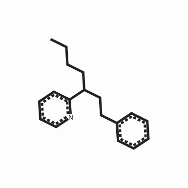 CCCCC(CCc1ccccc1)c1ccccn1